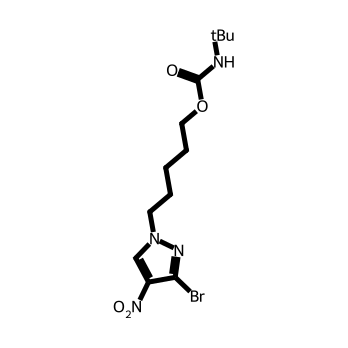 CC(C)(C)NC(=O)OCCCCCn1cc([N+](=O)[O-])c(Br)n1